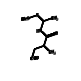 CSSC(C)NC(=O)C(C)CC=O